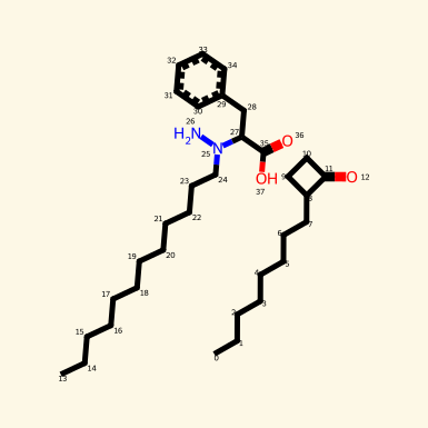 CCCCCCCCC1CCC1=O.CCCCCCCCCCCCN(N)C(Cc1ccccc1)C(=O)O